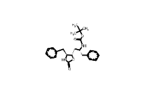 CC(C)(C)OC(=O)N[C@H](Cc1ccccc1)C[C@@H]1OC(=O)N[C@H]1Cc1ccccc1